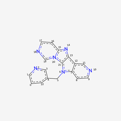 c1cncc(Cn2c3ccncc3c3nc4ccncn4c32)c1